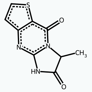 CC1C(=O)Nc2nc3ccsc3c(=O)n21